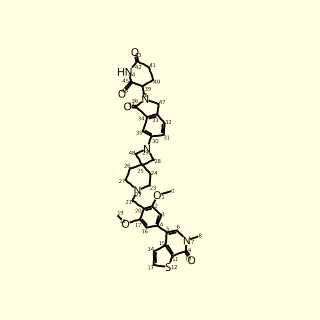 COc1cc(-c2cn(C)c(=O)c3sccc23)cc(OC)c1CN1CCC2(CC1)CN(c1ccc3c(c1)C(=O)N(C1CCC(=O)NC1=O)C3)C2